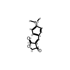 CN(C)c1ccc(C=C2C(=O)COC2=O)cc1